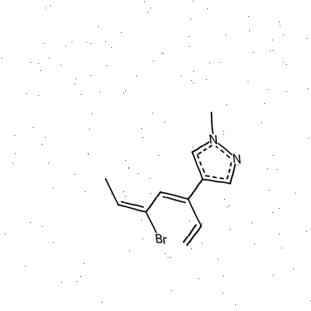 C=C/C(=C\C(Br)=C/C)c1cnn(C)c1